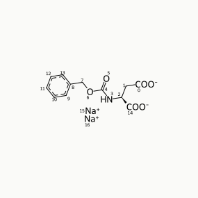 O=C([O-])C[C@H](NC(=O)OCc1ccccc1)C(=O)[O-].[Na+].[Na+]